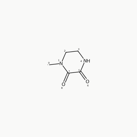 [CH2]N1CCNC(=O)C1=O